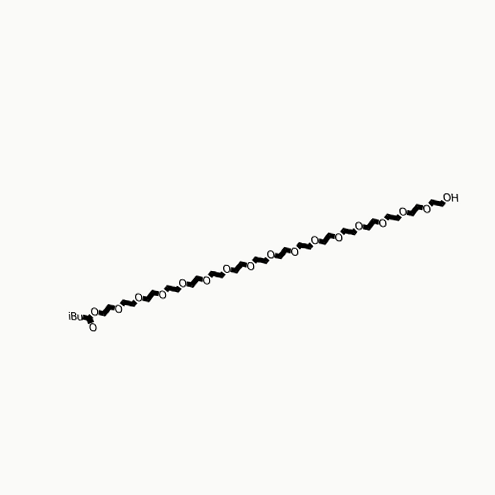 CCC(C)C(=O)OCCOCCOCCOCCOCCOCCOCCOCCOCCOCCOCCOCCOCCOCCOCCOCCO